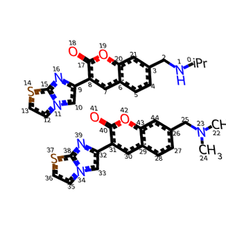 CC(C)NCc1ccc2cc(-c3cn4ccsc4n3)c(=O)oc2c1.CN(C)Cc1ccc2cc(-c3cn4ccsc4n3)c(=O)oc2c1